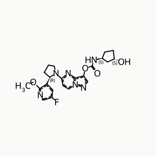 COc1ncc(F)cc1[C@H]1CCCN1c1ccn2ncc(OC(=O)N[C@H]3CC[C@H](O)C3)c2n1